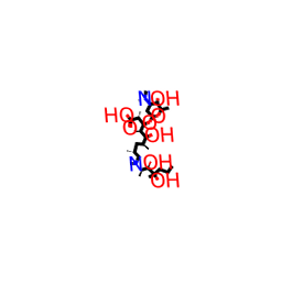 CCCC(C)(O)[C@H](O)[C@@H](C)N(C)C[C@H](C)C[C@H](C)C(O)[C@@H](C)C(OC1CC(N(C)C)C(O)C(C)O1)[C@@H](C)C(=O)O